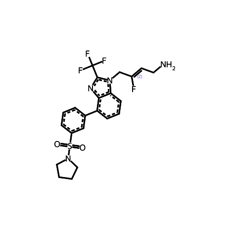 NC/C=C(\F)Cn1c(C(F)(F)F)nc2c(-c3cccc(S(=O)(=O)N4CCCC4)c3)cccc21